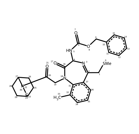 CSCC1=NC(NC(=O)OCc2ccccc2)C(=O)N(CC(=O)N2CC3CCC(CC3)C2)c2c(C)cccc21